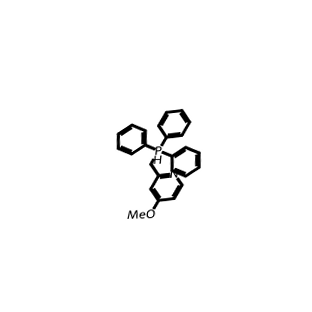 COc1ccnc(C[PH](c2ccccc2)(c2ccccc2)c2ccccc2)c1